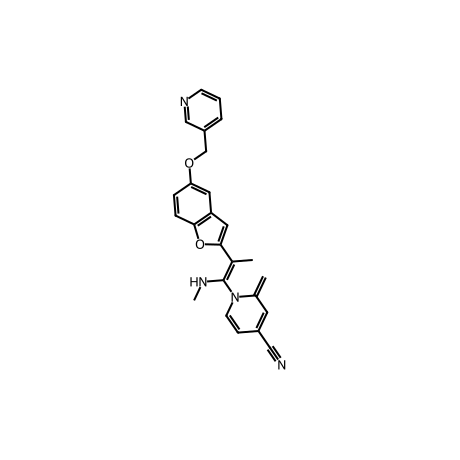 C=C1C=C(C#N)C=CN1/C(NC)=C(\C)c1cc2cc(OCc3cccnc3)ccc2o1